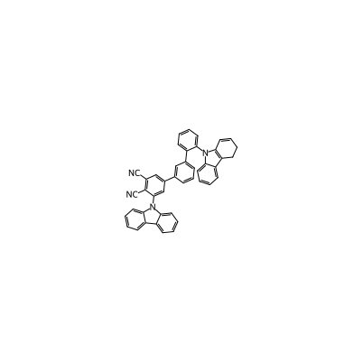 N#Cc1cc(-c2cccc(-c3ccccc3-n3c4c(c5ccccc53)CCC=C4)c2)cc(-n2c3ccccc3c3ccccc32)c1C#N